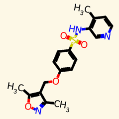 Cc1ccncc1NS(=O)(=O)c1ccc(OCc2c(C)noc2C)cc1